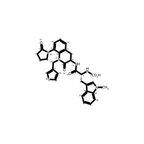 Cn1cc(C[C@@H](NC(=O)O)C(=O)NC2Cc3cccc(N4CCCC4=O)c3N(Cc3ccsc3)C2=O)c2ccccc21